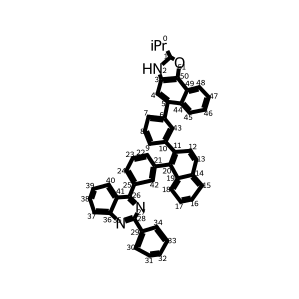 CC(C)C1Nc2cc(-c3cccc(-c4ccc5ccccc5c4-c4cccc(-c5nc(-c6ccccc6)nc6ccccc56)c4)c3)c3ccccc3c2O1